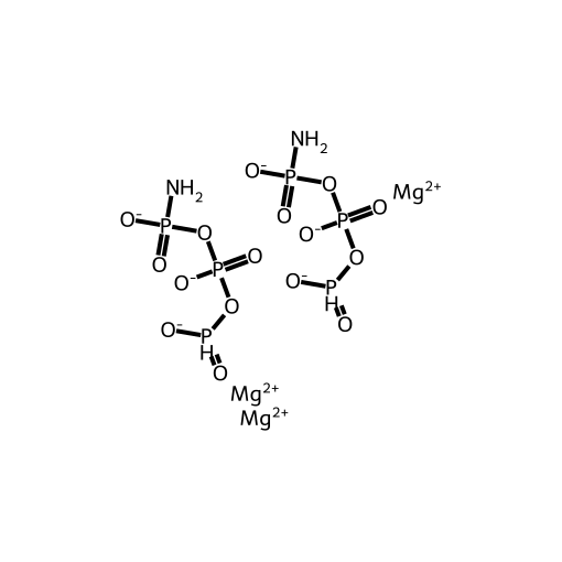 NP(=O)([O-])OP(=O)([O-])O[PH](=O)[O-].NP(=O)([O-])OP(=O)([O-])O[PH](=O)[O-].[Mg+2].[Mg+2].[Mg+2]